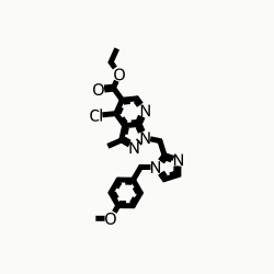 CCOC(=O)c1cnc2c(c(C)nn2Cc2nccn2Cc2ccc(OC)cc2)c1Cl